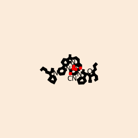 C#Cc1c(-c2c(C)n(C(/C=C(/C#N)C(=C)n3c4c(c5ccc6c(C)c(/C=C\CC=C)n(-c7ccccc7)c6c53)CC(n3c(=C)/c(=C\C=C/C)c5ccccc53)C=C4)=C(/C)C#N)c3ccccc23)oc(CC=C)c1/C=C\C